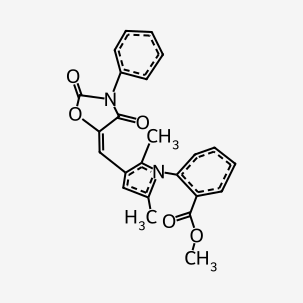 COC(=O)c1ccccc1-n1c(C)cc(C=C2OC(=O)N(c3ccccc3)C2=O)c1C